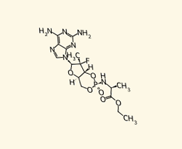 CCOC(=O)[C@H](C)N[P@@]1(=O)OC[C@H]2O[C@@H](n3cnc4c(N)nc(N)nc43)[C@](C)(F)[C@@H]2O1